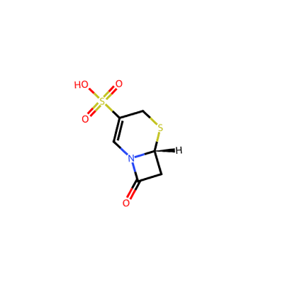 O=C1C[C@H]2SCC(S(=O)(=O)O)=CN12